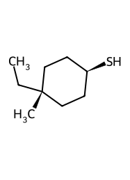 CC[C@]1(C)CC[C@@H](S)CC1